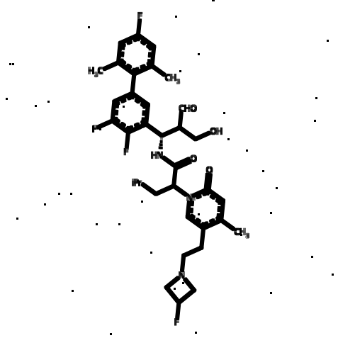 Cc1cc(=O)n(C(CC(C)C)C(=O)N[C@H](c2cc(-c3c(C)cc(F)cc3C)cc(F)c2F)C(C=O)CO)cc1CCN1CC(F)C1